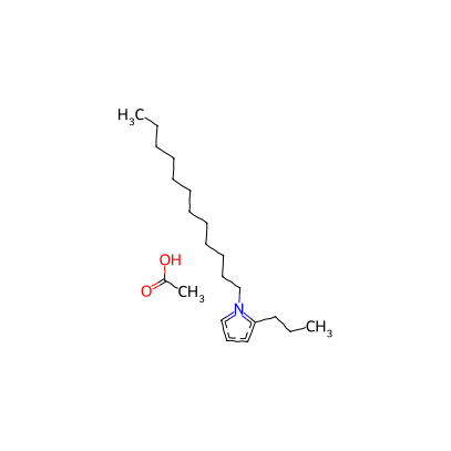 CC(=O)O.CCCCCCCCCCCCn1cccc1CCC